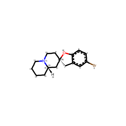 Brc1ccc2c(c1)C[C@]1(CCN3CCCC[C@H]3C1)O2